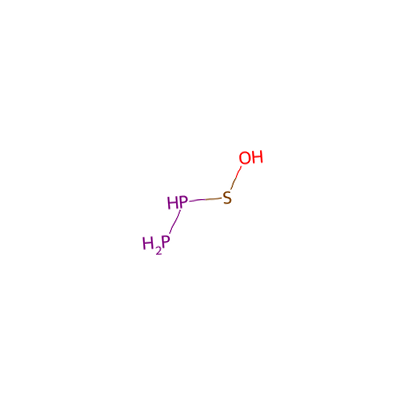 OSPP